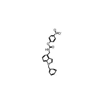 O=C(NCc1cccc2c1ccn2Cc1ccccc1)Oc1ccc([N+](=O)[O-])cc1